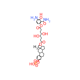 CC12CCC3c4ccc(OP(=O)(O)O)cc4CCC3C1CCC2OC(=O)CCC(O)C(O)CCC(=O)Oc1ccc(N)c(O)c1C(N)=O